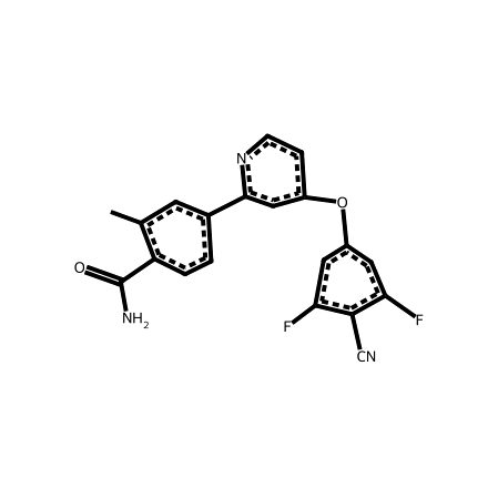 Cc1cc(-c2cc(Oc3cc(F)c(C#N)c(F)c3)ccn2)ccc1C(N)=O